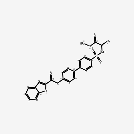 CC(C)C(NS(=O)(=O)c1ccc(-c2ccc(CC(=O)c3cc4ccccc4o3)cc2)cc1)C(=O)OC(C)(C)C